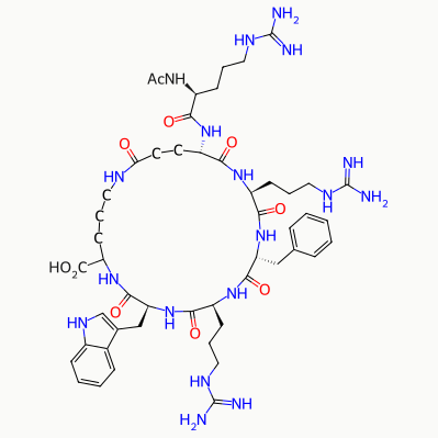 CC(=O)N[C@@H](CCCNC(=N)N)C(=O)N[C@H]1CCC(=O)NCCCC(C(=O)O)NC(=O)[C@H](Cc2c[nH]c3ccccc23)NC(=O)[C@H](CCCNC(=N)N)NC(=O)[C@@H](Cc2ccccc2)NC(=O)[C@H](CCCNC(=N)N)NC1=O